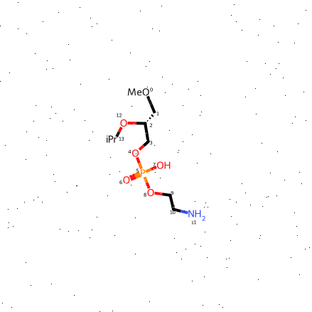 COC[C@H](COP(=O)(O)OCCN)OC(C)C